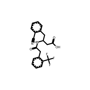 N#Cc1ccccc1CC(CC(=O)O)NC(=O)Cc1ccccc1C(F)(F)F